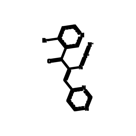 [N-]=[N+]=NC(=Cc1ccncn1)C(=O)c1cnccc1Br